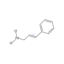 [Cl][Pd]([Cl])[CH2]/C=C/c1ccccc1